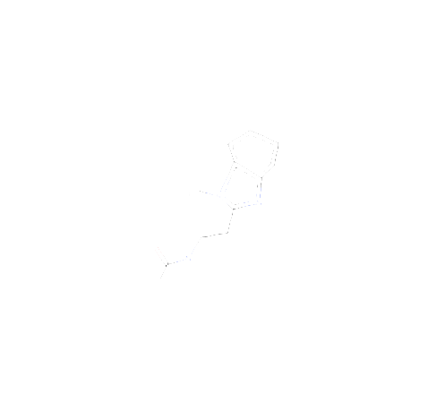 CCC(=O)NCCc1nc2ccccc2n1C